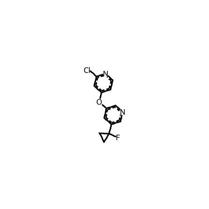 FC1(c2cncc(Oc3ccnc(Cl)c3)c2)CC1